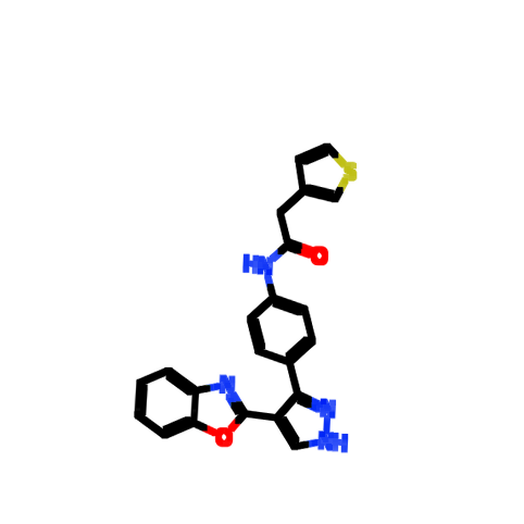 O=C(Cc1ccsc1)Nc1ccc(-c2n[nH]cc2-c2nc3ccccc3o2)cc1